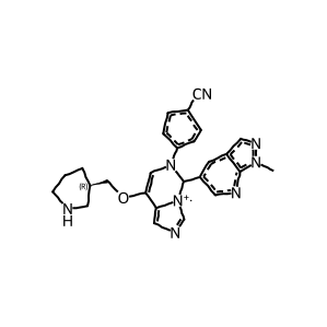 Cn1ncc2cc(C3N(c4ccc(C#N)cc4)C=C(OC[C@@H]4CCCNC4)C4=CN=C[N+]43)cnc21